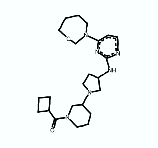 O=C(C1CCC1)N1CCCC(N2CCC(Nc3nccc(N4CCCCCC4)n3)C2)C1